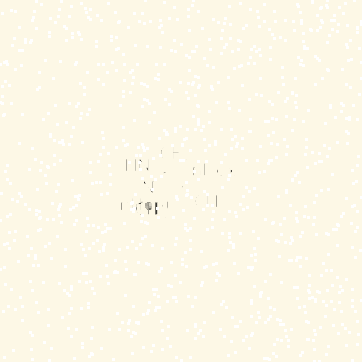 CCCCCCCC(C)(CCCCCC)C1(C(F)(F)F)NN1C